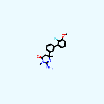 COc1cccc(-c2cccc(C3(C)CC(=O)N(C)C(N)=N3)c2)c1F